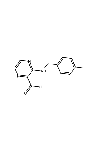 O=C(Cl)c1nccnc1NCc1ccc(F)cc1